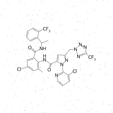 Cc1cc(Cl)cc(C(=O)NC(C)c2ccccc2C(F)(F)F)c1NC(=O)c1cc(Cn2nnc(C(F)(F)F)n2)nn1-c1ncccc1Cl